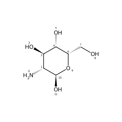 N[C@@H]1[C@@H](O)[C@H](O)[C@H](CO)O[C@H]1O